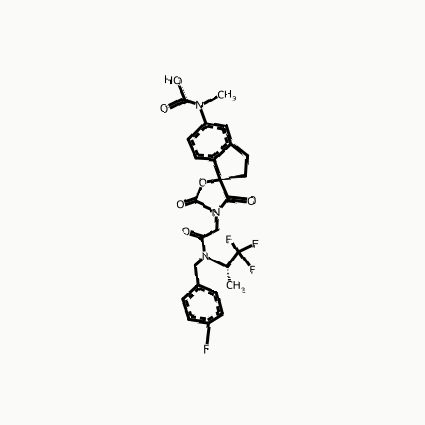 C[C@H](N(Cc1ccc(F)cc1)C(=O)CN1C(=O)O[C@@]2(CCc3cc(N(C)C(=O)O)ccc32)C1=O)C(F)(F)F